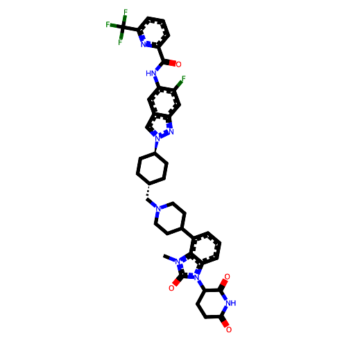 Cn1c(=O)n(C2CCC(=O)NC2=O)c2cccc(C3CCN(C[C@H]4CC[C@H](n5cc6cc(NC(=O)c7cccc(C(F)(F)F)n7)c(F)cc6n5)CC4)CC3)c21